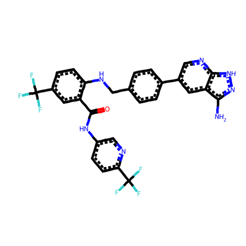 Nc1n[nH]c2ncc(-c3ccc(CNc4ccc(C(F)(F)F)cc4C(=O)Nc4ccc(C(F)(F)F)nc4)cc3)cc12